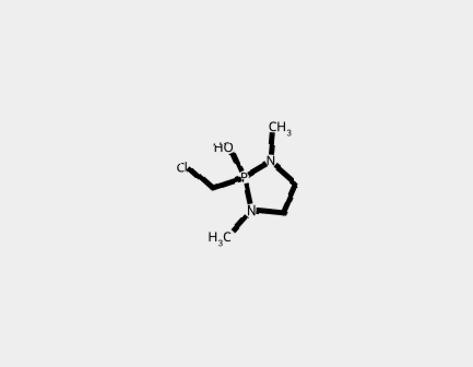 CN1CCN(C)[P]1(O)CCl